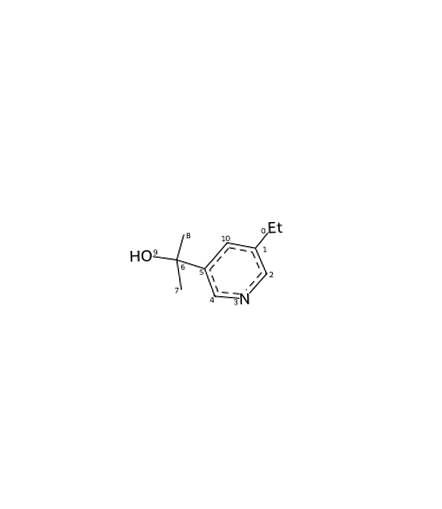 CCc1cncc(C(C)(C)O)c1